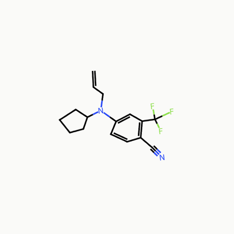 C=CCN(c1ccc(C#N)c(C(F)(F)F)c1)C1CCCC1